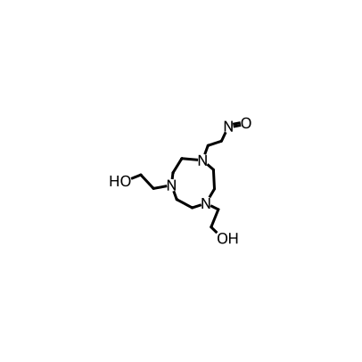 O=NCCN1CCN(CCO)CCN(CCO)CC1